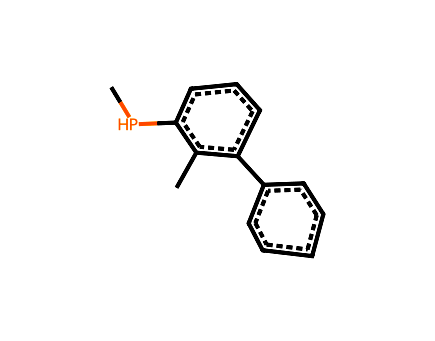 CPc1cccc(-c2ccccc2)c1C